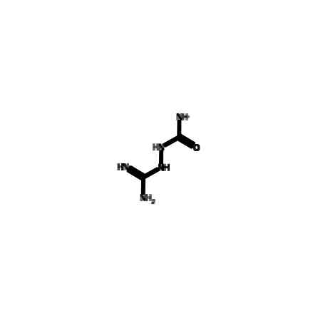 [NH]C(=O)NNC(=N)N